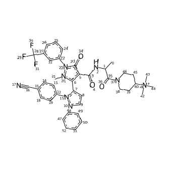 CC(NC(=O)c1c(-c2ccnn2-c2ccc(C#N)cc2)n(C)n(-c2cccc(C(F)(F)F)c2)c1=O)C(=O)N1CCC([N+](C)(C)C)CC1.c1ccccc1